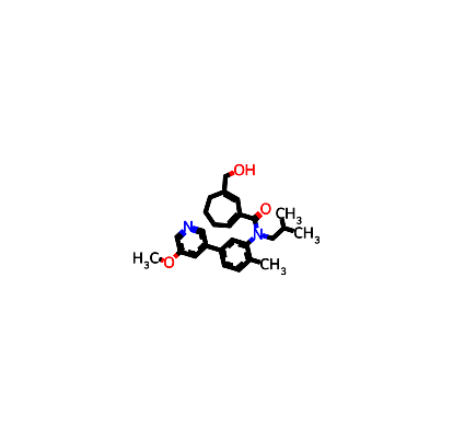 COc1cncc(-c2ccc(C)c(N(CC(C)C)C(=O)C3=CCCCC(CO)=C3)c2)c1